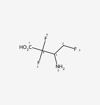 NC(CF)C(F)(F)C(=O)O